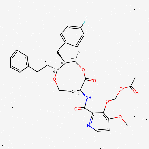 COc1ccnc(C(=O)N[C@H]2CCO[C@H](CCc3ccccc3)[C@@H](Cc3ccc(F)cc3)[C@H](C)OC2=O)c1OCOC(C)=O